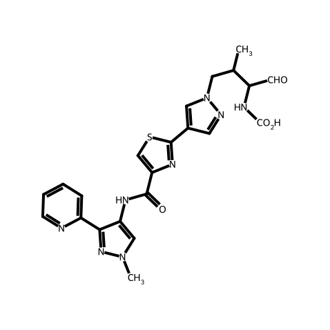 CC(Cn1cc(-c2nc(C(=O)Nc3cn(C)nc3-c3ccccn3)cs2)cn1)C(C=O)NC(=O)O